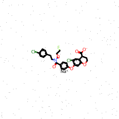 O=C([O-])C1CCOc2cc(Oc3ccc(C(=O)N(CCc4ccc(Cl)cc4)OCCF)cc3)c(Cl)cc21.[Na+]